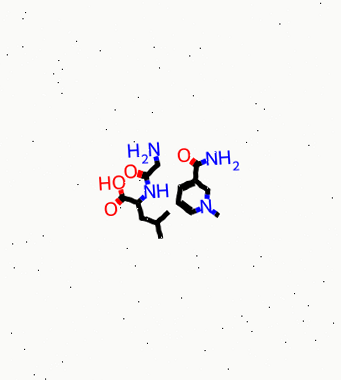 CC(C)CC(NC(=O)CN)C(=O)O.CN1C=CC=C(C(N)=O)C1